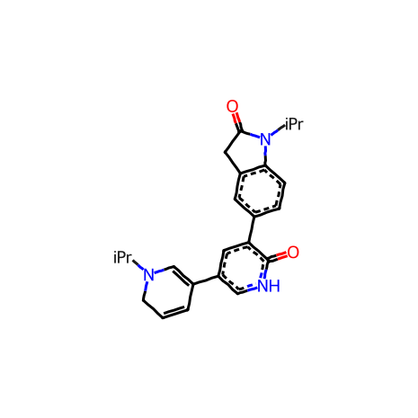 CC(C)N1C=C(c2c[nH]c(=O)c(-c3ccc4c(c3)CC(=O)N4C(C)C)c2)C=CC1